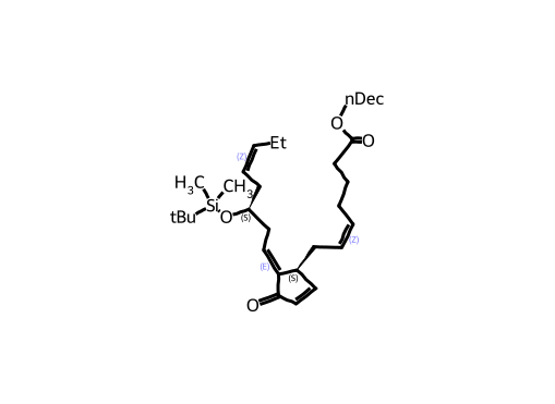 CC/C=C\C[C@@H](C/C=C1/C(=O)C=C[C@@H]1C/C=C\CCCC(=O)OCCCCCCCCCC)O[Si](C)(C)C(C)(C)C